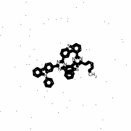 C=C/C=C\C=C\c1nc(-c2cccc3sc4ccc(-c5nc(-c6ccccc6)nc(-c6ccc7c8ccccc8n(-c8ccccc8)c7c6)n5)cc4c23)nc2c1sc1ccccc12